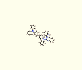 c1ccc(N(c2ccccc2)c2ccc(-c3ccc4c(c3)c3ccccc3n4-c3nc4ccccc4c4nc5ccccc5n34)cc2)cc1